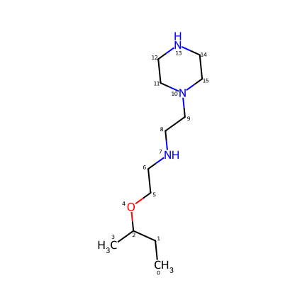 CCC(C)OCCNCCN1CCNCC1